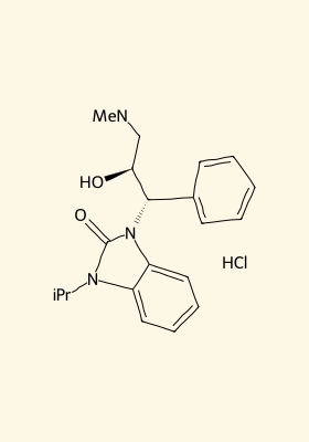 CNC[C@H](O)[C@H](c1ccccc1)n1c(=O)n(C(C)C)c2ccccc21.Cl